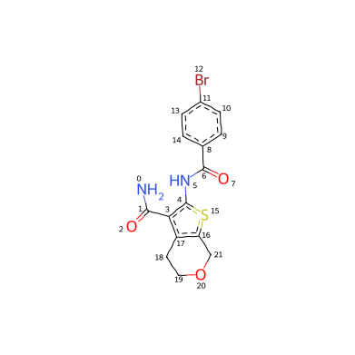 NC(=O)c1c(NC(=O)c2ccc(Br)cc2)sc2c1CCOC2